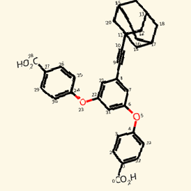 O=C(O)c1ccc(Oc2cc(C#CC34CC5CC(CC(C5)C3)C4)cc(Oc3ccc(C(=O)O)cc3)c2)cc1